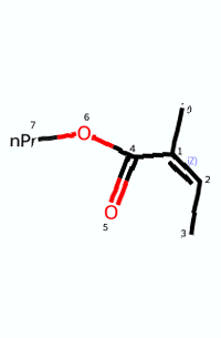 [CH2]/C(=C/C)C(=O)OCCC